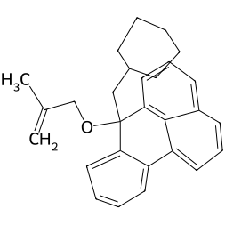 C=C(C)COC1(CC2CCCCC2)c2ccccc2-c2cccc3cccc1c23